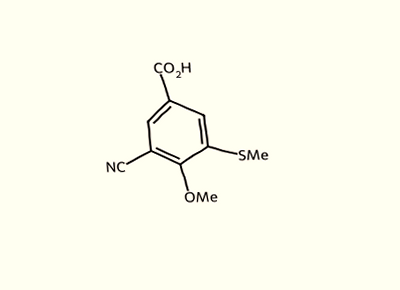 COc1c(C#N)cc(C(=O)O)cc1SC